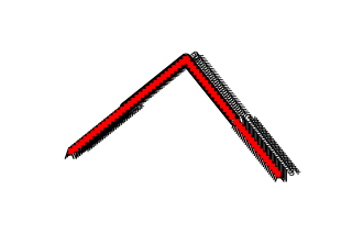 [Al+3].[Al+3].[Al+3].[Al+3].[Al+3].[Al+3].[Al+3].[Al+3].[Al+3].[Al+3].[Al+3].[Al+3].[Al+3].[Al+3].[Al+3].[Al+3].[Al+3].[Al+3].[Al+3].[Al+3].[Al+3].[Al+3].[Al+3].[Al+3].[Al+3].[Al+3].[Al+3].[Al+3].[Al+3].[Al+3].[Al+3].[Al+3].[Al+3].[Al+3].[Al+3].[Al+3].[Al+3].[Al+3].[Al+3].[Al+3].[Al+3].[Al+3].[Al+3].[Al+3].[Al+3].[Al+3].[Al+3].[Al+3].[Al+3].[Al+3].[Al+3].[Al+3].[Al+3].[Al+3].[Al+3].[Al+3].[Al+3].[Al+3].[Al+3].[Al+3].[O-2].[O-2].[O-2].[O-2].[O-2].[O-2].[O-2].[O-2].[O-2].[O-2].[O-2].[O-2].[O-2].[O-2].[O-2].[O-2].[O-2].[O-2].[O-2].[O-2].[O-2].[O-2].[O-2].[O-2].[O-2].[O-2].[O-2].[O-2].[O-2].[O-2].[O-2].[O-2].[O-2].[O-2].[O-2].[O-2].[O-2].[O-2].[O-2].[O-2].[O-2].[O-2].[O-2].[O-2].[O-2].[O-2].[O-2].[O-2].[O-2].[O-2].[O-2].[O-2].[O-2].[O-2].[O-2].[O-2].[O-2].[O-2].[O-2].[O-2].[O-2].[O-2].[O-2].[O-2].[O-2].[O-2].[O-2]